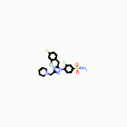 NS(=O)(=O)c1ccc(-n2nc(CN3CC=CCC3)nc2Cc2ccc(F)cc2Cl)c(F)c1